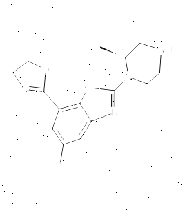 C[C@H]1CNCCN1c1nc2cc(Cl)cc(C3=NCCO3)c2o1